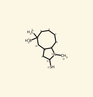 BC1(C)CCCCC2C(CC(S)N2C)C1